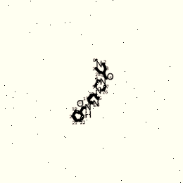 CN1CCC(C(=O)N2CCN(c3ccc(NC(=O)c4ccccc4)nc3)CC2)CC1